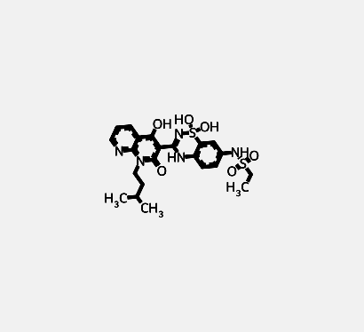 CCS(=O)(=O)Nc1ccc2c(c1)S(O)(O)N=C(c1c(O)c3cccnc3n(CCC(C)C)c1=O)N2